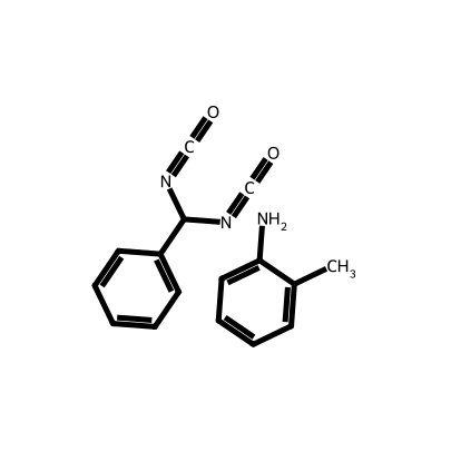 Cc1ccccc1N.O=C=NC(N=C=O)c1ccccc1